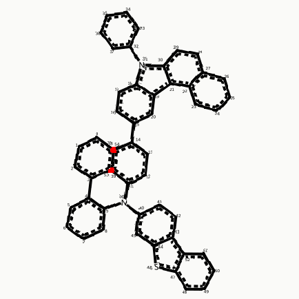 c1ccc(-c2ccccc2N(c2ccc(-c3ccc4c(c3)c3c5ccccc5ccc3n4-c3ccccc3)cc2)c2ccc3c(c2)sc2ccccc23)cc1